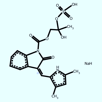 Cc1cc(C)c(/C=C2\C(=O)N(C(=O)OCC(C)(O)OS(=O)(=O)O)c3ccccc32)[nH]1.[NaH]